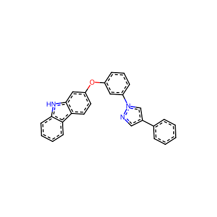 c1ccc(-c2cnn(-c3cccc(Oc4ccc5c(c4)[nH]c4ccccc45)c3)c2)cc1